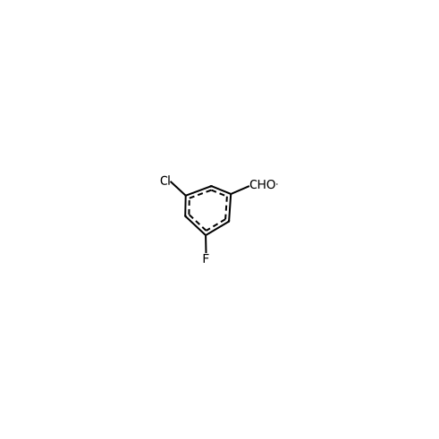 O=[C]c1cc(F)cc(Cl)c1